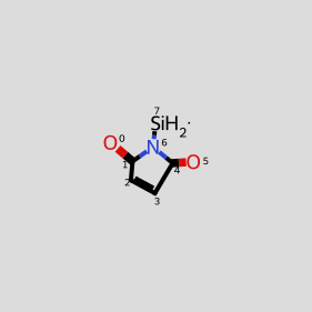 O=C1C=CC(=O)N1[SiH2]